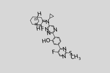 CSc1ncc(F)c(-c2ccc(-c3ncc(N(C4CC4)[C@@H]4C[C@H]5CCC[C@H](C5)[C@@H]4F)nn3)c(O)c2)n1